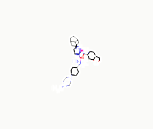 Cc1c(C(=O)NNC2CC3CCC(C2)C3c2ccc(C(=O)NCc3ccc(N4CCN(C)CC4)cc3)cn2)ccc2ccoc12